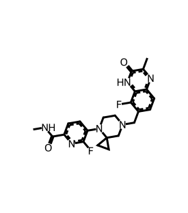 CNC(=O)c1ccc(N2CCN(Cc3ccc4nc(C)c(=O)[nH]c4c3F)CC23CC3)c(F)n1